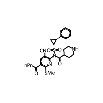 CCCC(=O)c1cc(C#N)c(N(C(=O)C2CCNCC2)S(=O)(=O)[C@@H]2C[C@H]2c2ccccc2)nc1SC